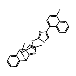 Cc1cn2c(n1)C1CC(C)(C(=O)Nc3nc(-c4ccc(F)c5ccccc45)cs3)C2c2ccccc21